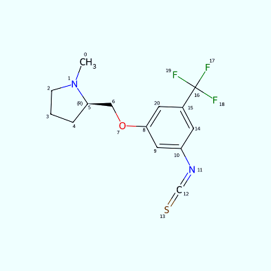 CN1CCC[C@@H]1COc1cc(N=C=S)cc(C(F)(F)F)c1